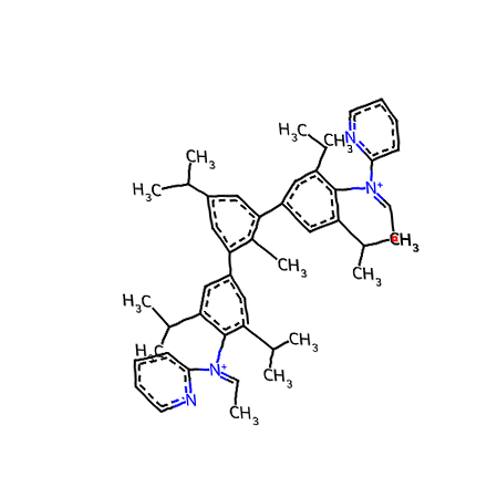 CC=[N+](c1ccccn1)c1c(C(C)C)cc(-c2cc(C(C)C)cc(-c3cc(C(C)C)c([N+](=CC)c4ccccn4)c(C(C)C)c3)c2C)cc1C(C)C